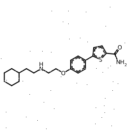 NC(=O)c1ccc(-c2ccc(OCCNCCC3CCCCC3)cc2)s1